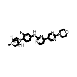 CN1C[C@@H]2C[C@H]1CN2c1ccc(Nc2nccc(-c3cnc(N4CCOCC4)nc3)n2)cc1F